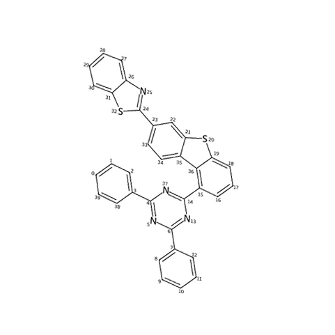 c1ccc(-c2nc(-c3ccccc3)nc(-c3cccc4sc5cc(-c6nc7ccccc7s6)ccc5c34)n2)cc1